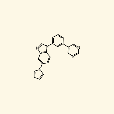 c1cc(-c2cncnc2)cc(-n2cnc3cc(-n4cccc4)ccc32)c1